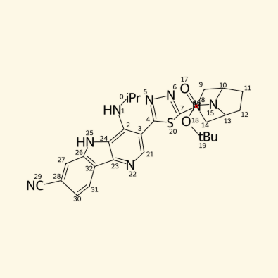 CC(C)Nc1c(-c2nnc(N3CC4CCC(C3)N4C(=O)OC(C)(C)C)s2)cnc2c1[nH]c1cc(C#N)ccc12